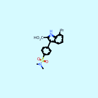 CC(C)c1cccc2c(-c3ccc(S(=O)(=O)N(C)C)cc3)c(C(=O)O)[nH]c12